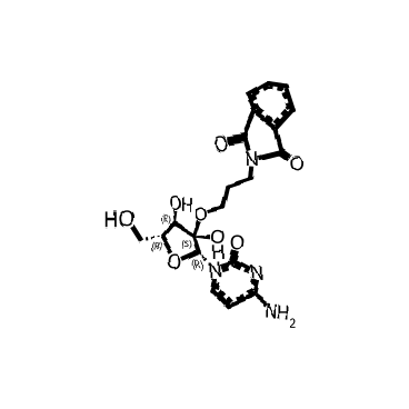 Nc1ccn([C@@H]2O[C@H](CO)[C@@H](O)[C@]2(O)OCCCN2C(=O)c3ccccc3C2=O)c(=O)n1